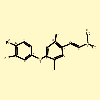 CCN(C=Nc1cc(C)c(Oc2ccc(Br)c(I)c2)cc1C)CC